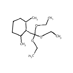 CCOC(OCC)(OCC)C1C(C)CCCC1C